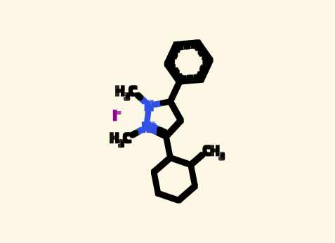 CC1CCCCC1C1=[N+](C)N(C)C(c2ccccc2)C1.[I-]